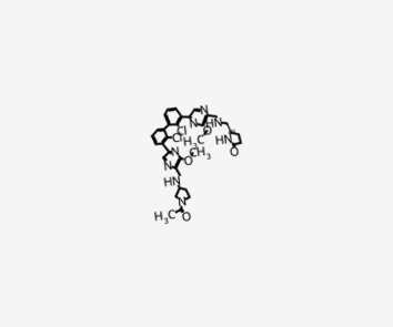 COc1nc(-c2cccc(-c3cccc(-c4cnc(CNC5CCN(C(C)=O)C5)c(OC)n4)c3Cl)c2Cl)cnc1CNC[C@H]1CCC(=O)N1